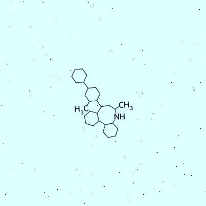 CC1CC(C2CCC(C3CCCCC3)CC2C)C2CCCCC2C2CCCCC2N1